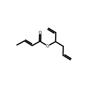 C=CCC(C=C)OC(=O)C=CC